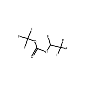 O=C(OC(F)C(F)(F)F)OC(F)(F)F